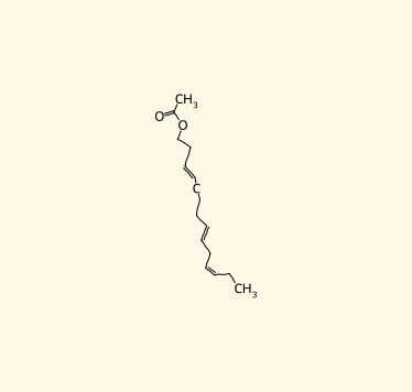 CC/C=C\C/C=C/CCC/C=C/CCOC(C)=O